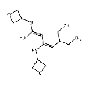 CCC(/C=C(\N=C(/N)NC1COC1)NC1COC1)CC